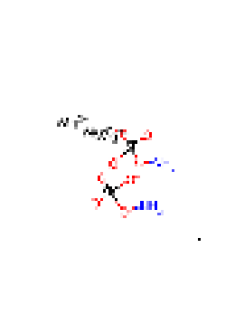 NO[Si]([O-])([O-])[O-].NO[Si]([O-])([O-])[O-].[Mg+2].[Mg+2].[Mg+2]